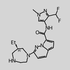 CC[C@@H]1CNCCN(c2ccc3ccc(C(=O)Nc4cn(C)nc4C(F)F)n3n2)C1